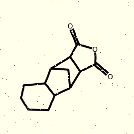 O=C1OC(=O)C2C3CC(C4CCCCC43)C12